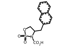 O=C(O)N1C(Cc2ccc3ccccc3c2)COS1(=O)=O